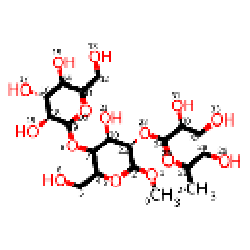 COC1OC(CO)C(OC2OC(CO)C(O)[C@@H](O)[C@@H]2O)[C@@H](O)[C@@H]1OC(OC(C)CO)[C@@H](O)CO